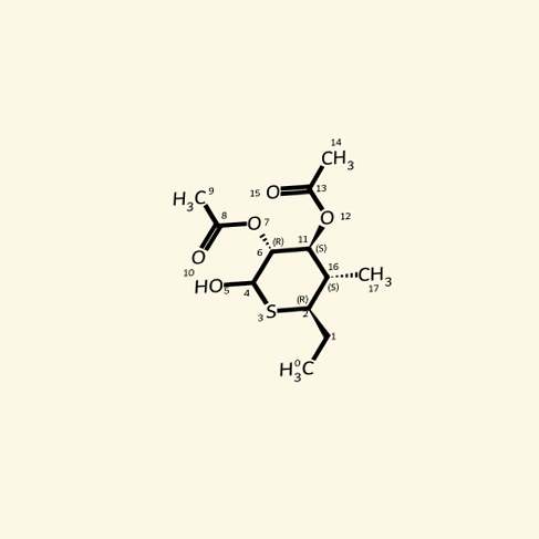 CC[C@H]1SC(O)[C@H](OC(C)=O)[C@@H](OC(C)=O)[C@@H]1C